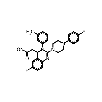 O=NC(=O)CC1c2cc(F)ccc2N=C(N2CCN(c3ccc(F)cc3)CC2)N1c1cccc(C(F)(F)F)c1